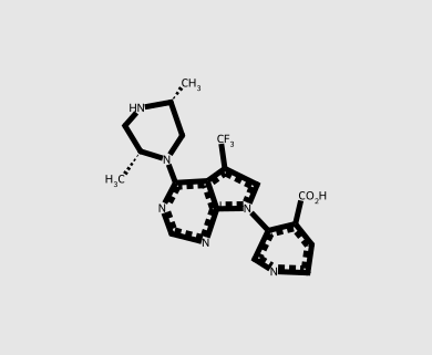 C[C@@H]1CN(c2ncnc3c2c(C(F)(F)F)cn3-c2cnccc2C(=O)O)[C@H](C)CN1